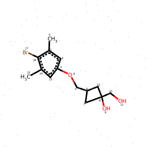 Cc1cc(OCC2CC(O)(CO)C2)cc(C)c1Br